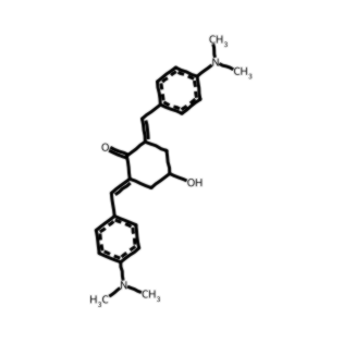 CN(C)c1ccc(C=C2CC(O)CC(=Cc3ccc(N(C)C)cc3)C2=O)cc1